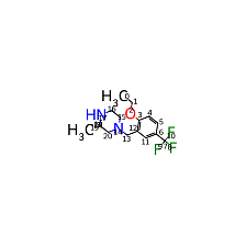 CCOc1ccc(C(F)(F)F)cc1CN1CCN[C@@H](C)C1